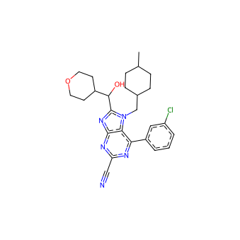 CC1CCC(Cn2c(C(O)C3CCOCC3)nc3nc(C#N)nc(-c4cccc(Cl)c4)c32)CC1